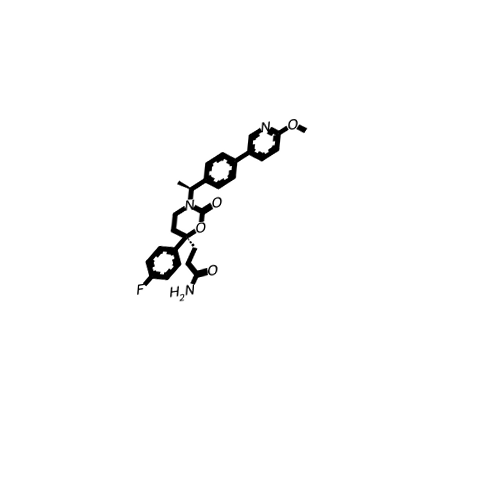 COc1ccc(-c2ccc([C@H](C)N3CC[C@](CCC(N)=O)(c4ccc(F)cc4)OC3=O)cc2)cn1